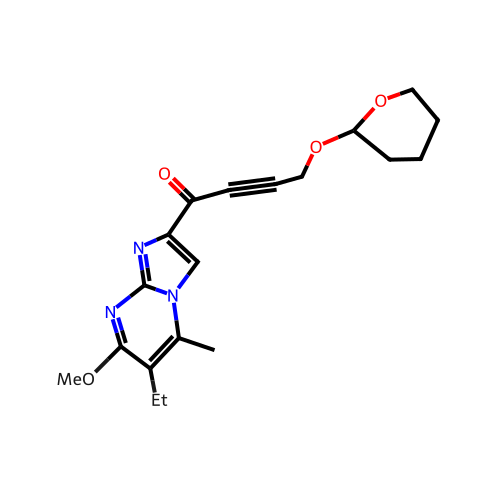 CCc1c(OC)nc2nc(C(=O)C#CCOC3CCCCO3)cn2c1C